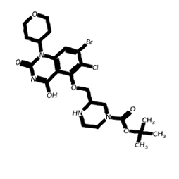 CC(C)(C)OC(=O)N1CCNC(COc2c(Cl)c(Br)cc3c2c(O)nc(=O)n3C2CCOCC2)C1